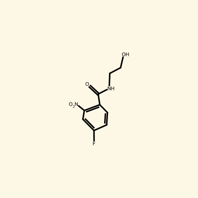 O=C(NCCO)c1ccc(F)cc1[N+](=O)[O-]